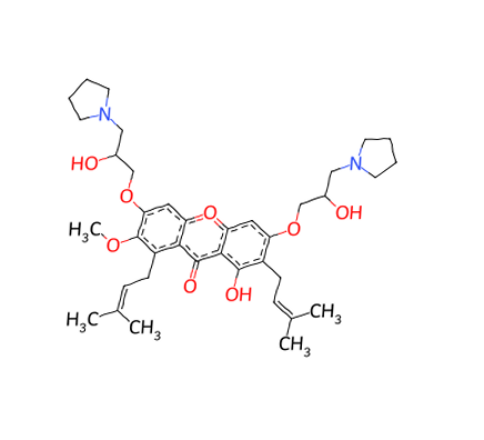 COc1c(OCC(O)CN2CCCC2)cc2oc3cc(OCC(O)CN4CCCC4)c(CC=C(C)C)c(O)c3c(=O)c2c1CC=C(C)C